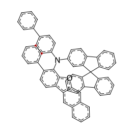 c1ccc(-c2ccc(N(c3ccc4c(c3)C3(c5ccccc5-c5ccccc53)c3ccccc3-4)c3c(-c4ccccc4)ccc4c3oc3cc5ccccc5cc34)cc2)cc1